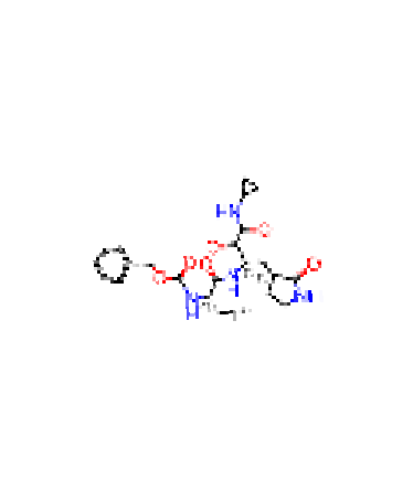 CC(C)C[C@H](NC(=O)OCc1ccccc1)C(=O)N[C@@H](C[C@@H]1CCNC1=O)C(=O)C(=O)NC1CC1